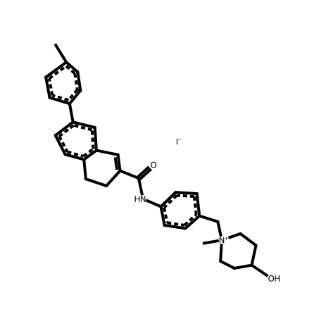 Cc1ccc(-c2ccc3c(c2)C=C(C(=O)Nc2ccc(C[N+]4(C)CCC(O)CC4)cc2)CC3)cc1.[I-]